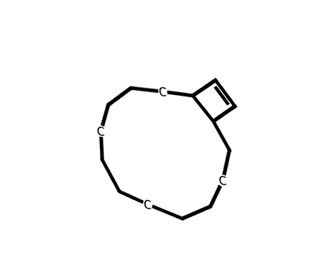 C1=CC2CCCCCCCCCCCC12